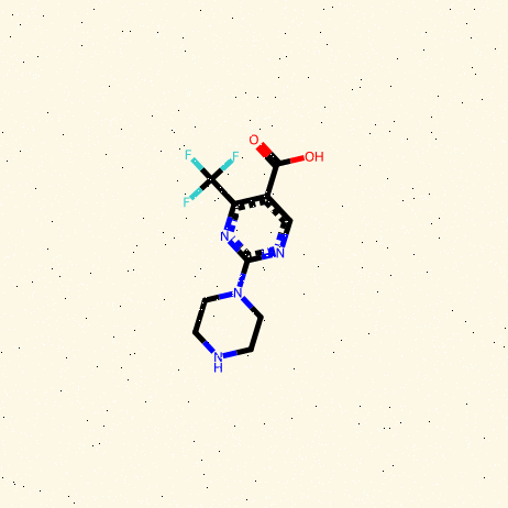 O=C(O)c1cnc(N2CCNCC2)nc1C(F)(F)F